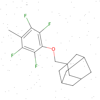 Cc1c(F)c(F)c(OCC23CC4CC(CC(C4)C2)C3)c(F)c1F